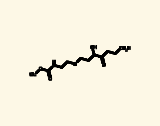 CC(C)(C)OC(=O)NCCOCCN(O)C(=O)CCC(=O)O